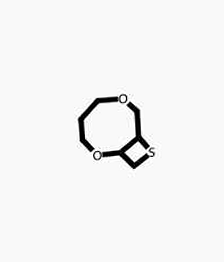 C1COCC2SCC2OC1